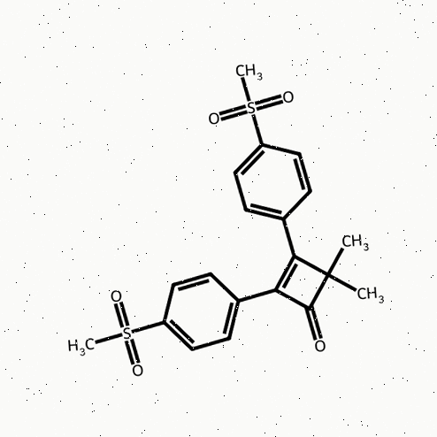 CC1(C)C(=O)C(c2ccc(S(C)(=O)=O)cc2)=C1c1ccc(S(C)(=O)=O)cc1